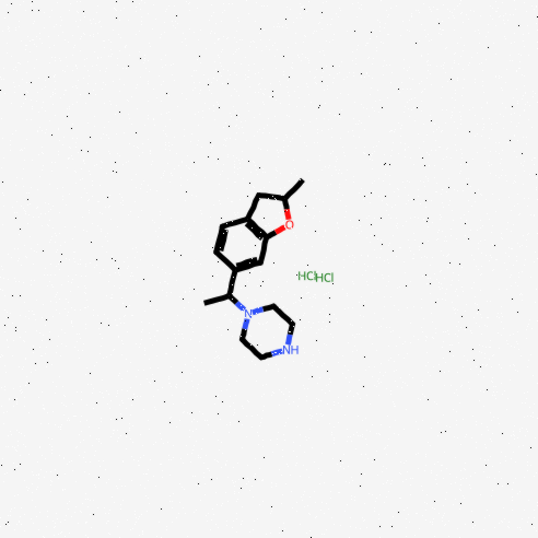 CC1Cc2ccc(C(C)N3CCNCC3)cc2O1.Cl.Cl